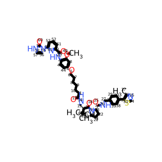 COc1cc(OCCCCCCC(=O)NC[C@H](C(=O)N2CCC[C@H]2C(=O)NCc2ccc(-c3scnc3C)cc2)C(C)(C)C)ccc1NC(=O)c1cccc(-n2cc[nH]c2=O)n1